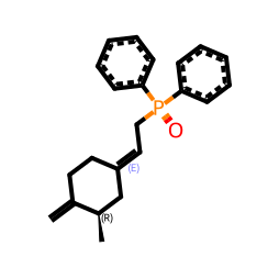 C=C1CC/C(=C\CP(=O)(c2ccccc2)c2ccccc2)C[C@H]1C